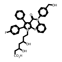 CC(C)c1c(C(=O)N(c2ccccc2)c2ccc(CO)cc2)c(-c2ccccc2)c(-c2ccc(F)cc2)n1CCC(O)CC(O)CC(=O)O